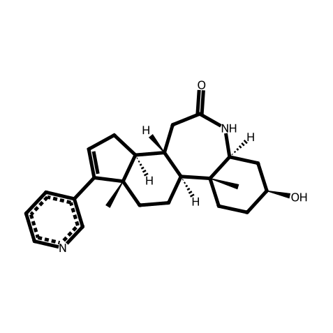 C[C@]12CC[C@H](O)C[C@@H]1NC(=O)C[C@@H]1[C@@H]2CC[C@]2(C)C(c3cccnc3)=CC[C@@H]12